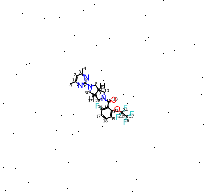 Cc1cc(C)nc(N2C[C@H]3CN(C(=O)c4c(F)cccc4OC(F)(F)C(F)F)C[C@H]3C2)n1